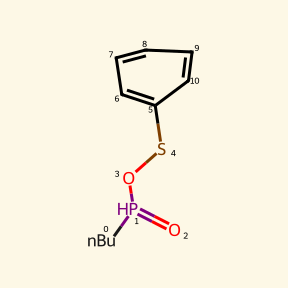 CCCC[PH](=O)OSc1ccccc1